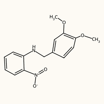 COc1ccc(CNc2ccccc2[N+](=O)[O-])cc1OC